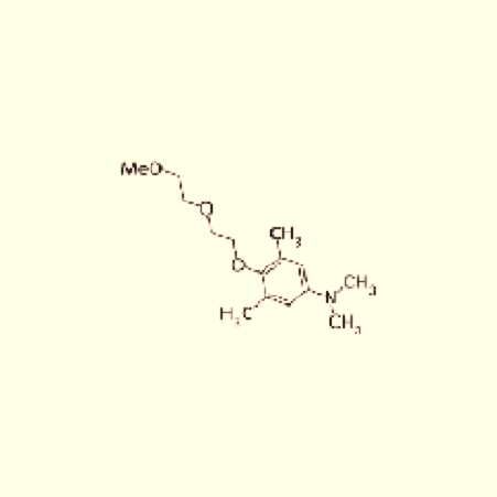 COCCOCCOc1c(C)cc(N(C)C)cc1C